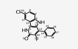 O=c1[nH]c2c([nH]c3ccc(Cl)cc32)c(-c2ccccc2)c1F